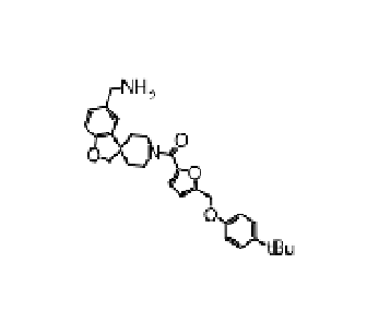 CC(C)(C)c1ccc(OCc2ccc(C(=O)N3CCC4(CC3)COc3ccc(CN)cc34)o2)cc1